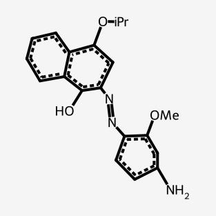 COc1cc(N)ccc1N=Nc1cc(OC(C)C)c2ccccc2c1O